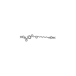 CCCCCCCCCCCCCCCCCCOCCOc1ccc(C(=O)C(C)(C)O)cc1